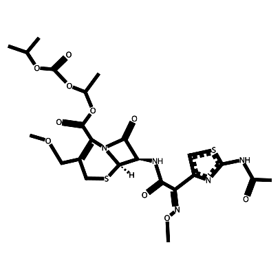 COCC1=C(C(=O)OC(C)OC(=O)OC(C)C)N2C(=O)[C@@H](NC(=O)/C(=N\OC)c3csc(NC(C)=O)n3)[C@H]2SC1